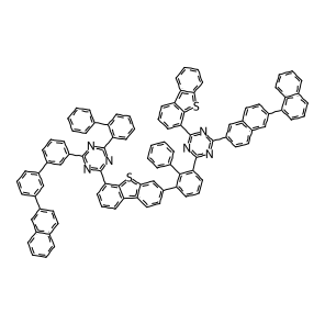 c1ccc(-c2ccccc2-c2nc(-c3cccc(-c4cccc(-c5ccc6ccccc6c5)c4)c3)nc(-c3cccc4c3sc3cc(-c5cccc(-c6nc(-c7ccc8cc(-c9cccc%10ccccc9%10)ccc8c7)nc(-c7cccc8c7sc7ccccc78)n6)c5-c5ccccc5)ccc34)n2)cc1